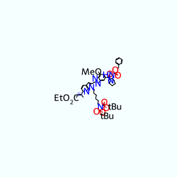 CCOC(=O)/C=C(\C)c1ccc2cc(-c3nc4cc(C(=O)N5C6CCC5C(NC(=O)OCc5ccccc5)C6)cc(OC)c4n3C)n(CCCCCCN(C(=O)OC(C)(C)C)C(=O)OC(C)(C)C)c2n1